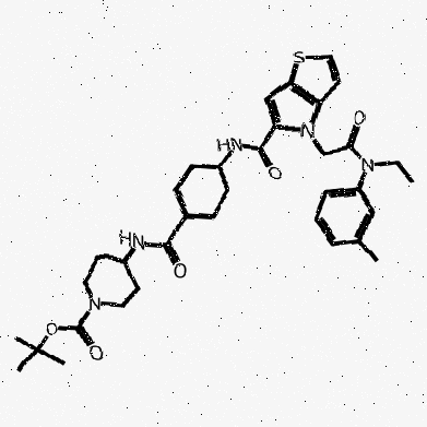 CCN(C(=O)Cn1c(C(=O)NC2CCC(C(=O)NC3CCN(C(=O)OC(C)(C)C)CC3)CC2)cc2sccc21)c1cccc(C)c1